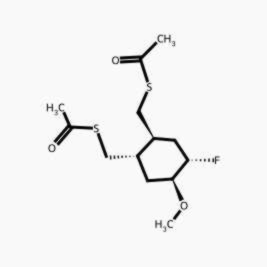 CO[C@H]1C[C@H](CSC(C)=O)[C@@H](CSC(C)=O)C[C@@H]1F